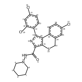 O=C(NN1CCCCC1)c1nn(-c2ccc(Cl)cc2Cl)c2c1SCc1cc(Cl)ccc1-2